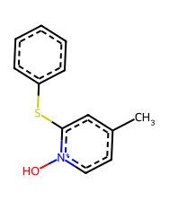 Cc1cc[n+](O)c(Sc2ccccc2)c1